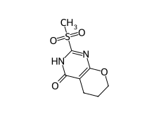 CS(=O)(=O)c1nc2c(c(=O)[nH]1)CCCO2